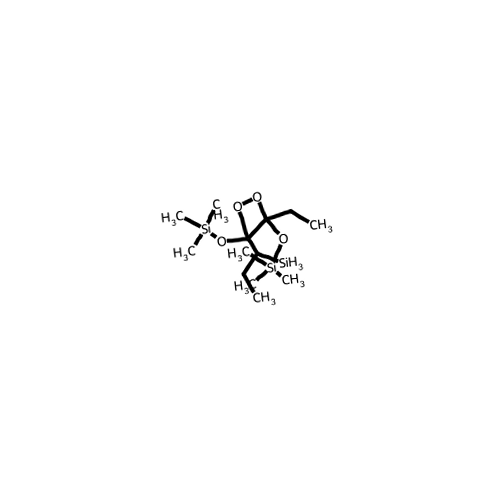 CCC([SiH3])C1(O[Si](C)(C)C)OOC1(CC)O[Si](C)(C)C